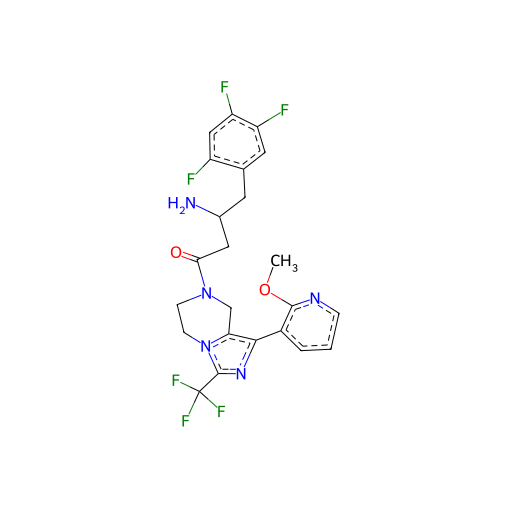 COc1ncccc1-c1nc(C(F)(F)F)n2c1CN(C(=O)CC(N)Cc1cc(F)c(F)cc1F)CC2